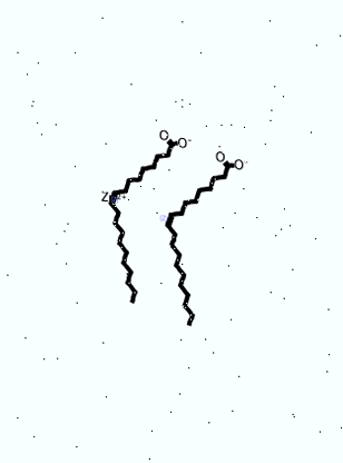 CCCCCCCCCC/C=C\CCCCCCCC(=O)[O-].CCCCCCCCCC/C=C\CCCCCCCC(=O)[O-].[Zn+2]